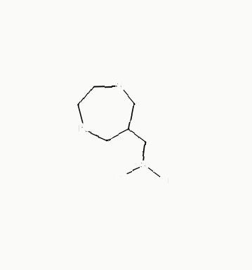 CN(C)CC1C[N]CCNC1